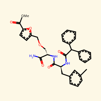 COC(=O)c1ccc(COC[C@H](NC(=O)[C@H](Cc2cccc(C)c2)NC(=O)C(c2ccccc2)c2ccccc2)C(N)=O)o1